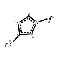 CCCn1cnc(C(F)(F)F)n1